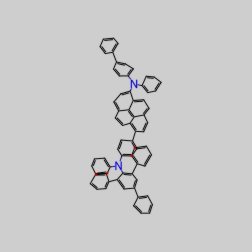 c1ccc(-c2ccc(N(c3ccccc3)c3ccc4ccc5c(-c6ccc(N(c7ccccc7)c7c(-c8ccccc8)cc(-c8ccccc8)cc7-c7ccccc7)cc6)ccc6ccc3c4c65)cc2)cc1